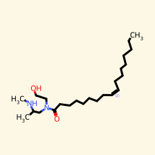 CCCCCCCC/C=C\CCCCCCCC(=O)N(CCO)CC(C)NC